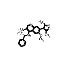 COc1cc2c(N[C@@H](C)c3ccccc3)c(N)cnc2cc1-c1c(C)noc1C